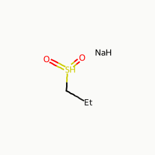 [CH2]CC[SH](=O)=O.[NaH]